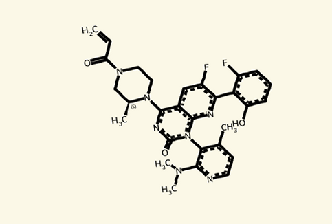 C=CC(=O)N1CCN(c2nc(=O)n(-c3c(C)ccnc3N(C)C)c3nc(-c4c(O)cccc4F)c(F)cc23)[C@@H](C)C1